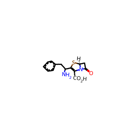 NC(Cc1ccccc1)C1=C(C(=O)O)N2C(=O)C[C@@H]2S1